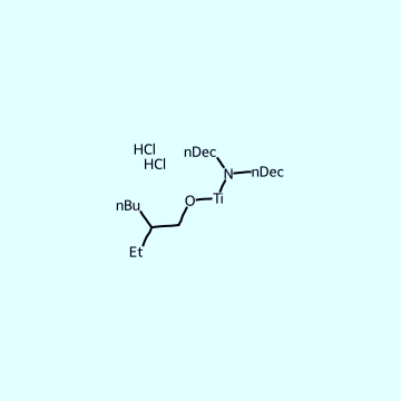 CCCCCCCCCC[N](CCCCCCCCCC)[Ti][O]CC(CC)CCCC.Cl.Cl